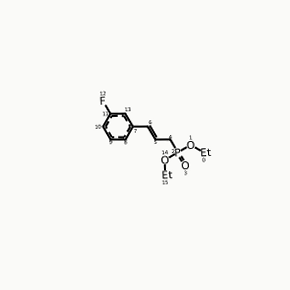 CCOP(=O)(C/C=C/c1cccc(F)c1)OCC